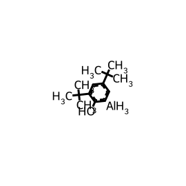 CC(C)(C)c1ccc(O)c(C(C)(C)C)c1.[AlH3]